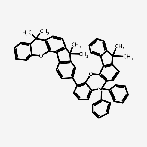 CC1(C)c2ccccc2Oc2c1ccc1c2-c2ccc(-c3cccc4c3Oc3c(ccc5c3-c3ccccc3C5(C)C)[Si]4(c3ccccc3)c3ccccc3)cc2C1(C)C